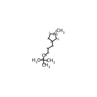 CN1CCC(CCCOC(C)(C)C)C1